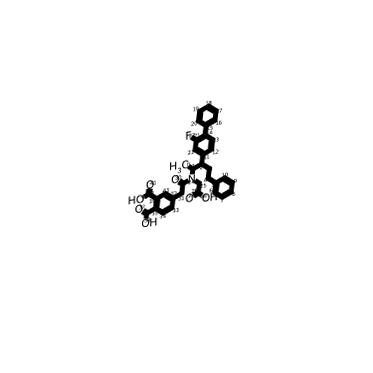 CC(C(CCc1ccccc1)c1ccc(-c2ccccc2)c(F)c1)N(CC(=O)O)C(=O)Cc1ccc(C(=O)O)c(C(=O)O)c1